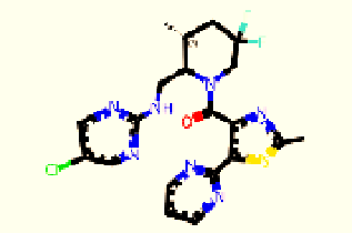 Cc1nc(C(=O)N2CC(F)(F)C[C@@H](C)C2CNc2ncc(Cl)cn2)c(-c2ncccn2)s1